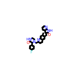 O=C1NCCN(Cc2ccc3cc4c(cc3n2)C[C@]2(C4)C(=O)Nc3ncccc32)C1c1ccc(F)cc1